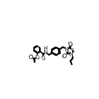 CCCn1sc(=O)n(Cc2ccc(CNC(=O)c3ccccc3OC(C)=O)cc2)c1=O